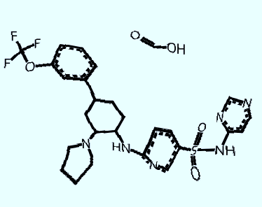 O=CO.O=S(=O)(Nc1ccncn1)c1ccc(NC2CCC(c3cccc(OC(F)(F)F)c3)CC2N2CCCC2)nc1